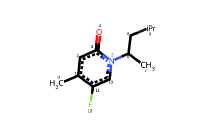 Cc1cc(=O)n(C(C)CC(C)C)cc1F